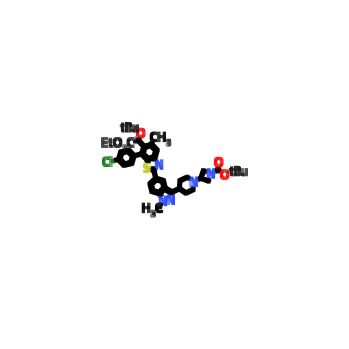 CCOC(=O)[C@@H](OC(C)(C)C)c1c(C)cc2nc(-c3ccc4c(c3)c(C3CCN(C5CN(C(=O)OC(C)(C)C)C5)CC3)nn4C)sc2c1-c1ccc(Cl)cc1